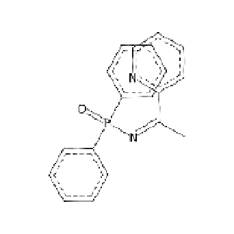 C/C(=N/P(=O)(c1ccccc1)c1ccccc1)c1ccccn1